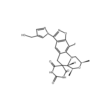 C[C@@H]1CN2c3c(cc4c(-n5cc(CO)cn5)noc4c3F)CC3(C(=O)NC(=O)NC3=O)[C@H]2[C@H](C)O1